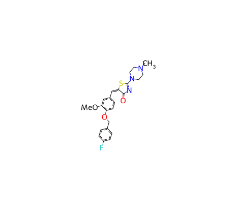 COc1cc(C=C2SC(N3CCN(C)CC3)=NC2=O)ccc1OCc1ccc(F)cc1